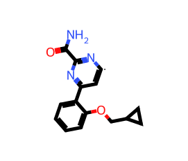 NC(=O)c1n[c]cc(-c2ccccc2OCC2CC2)n1